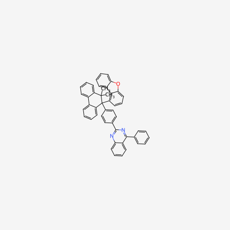 CC1(C)c2ccccc2-c2ccccc2C1(c1ccc(-c2nc(-c3ccccc3)c3ccccc3n2)cc1)c1cccc2oc3ccccc3c12